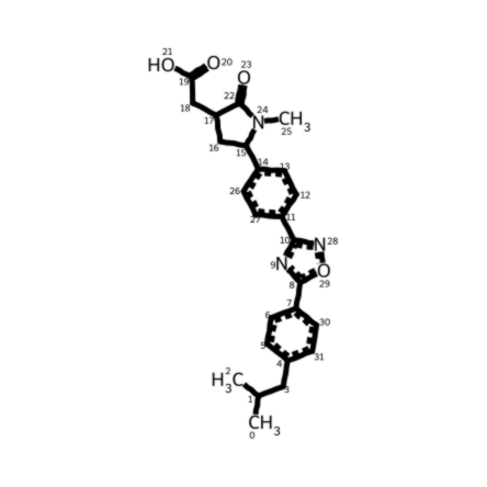 CC(C)Cc1ccc(-c2nc(-c3ccc(C4CC(CC(=O)O)C(=O)N4C)cc3)no2)cc1